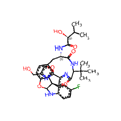 CC(C)[C@H](O)C(=O)N[C@H]1Cc2ccc3c(c2)C2(c4cc(F)ccc4NC2O3)c2oc(nc2-c2nc(CO)co2)C(C(C)(C)C)NC1=O